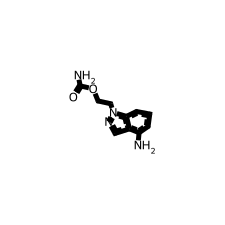 NC(=O)OCCn1ncc2c(N)cccc21